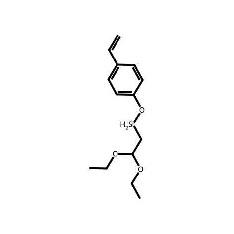 C=Cc1ccc(O[SiH2]CC(OCC)OCC)cc1